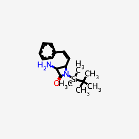 CC(C)(C)[Si](C)(C)N1C(=O)C(N)C1/C=C\c1ccccc1